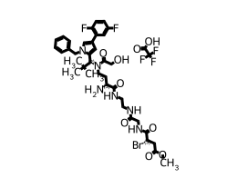 COC(=O)C[C@H](Br)C(=O)NCC(=O)NCCNC(=O)[C@@H](N)CCN(C(=O)CO)[C@@H](c1cc(-c2cc(F)ccc2F)cn1Cc1ccccc1)C(C)(C)C.O=C(O)C(F)(F)F